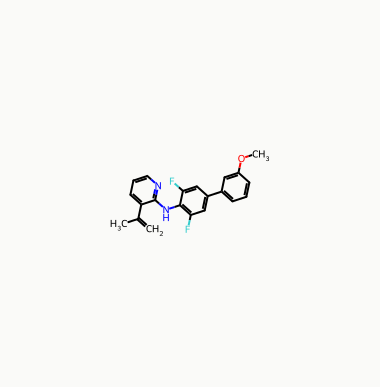 C=C(C)c1cccnc1Nc1c(F)cc(-c2cccc(OC)c2)cc1F